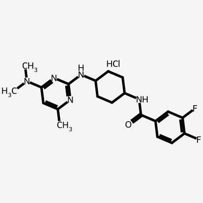 Cc1cc(N(C)C)nc(NC2CCC(NC(=O)c3ccc(F)c(F)c3)CC2)n1.Cl